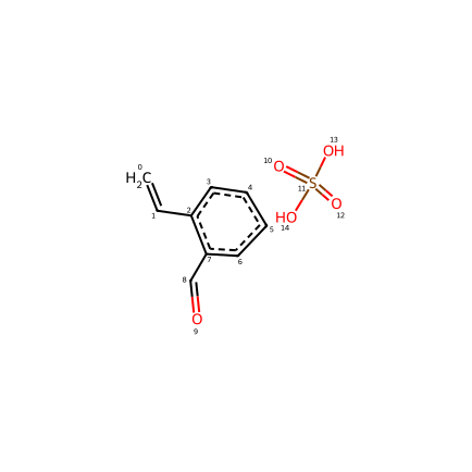 C=Cc1ccccc1C=O.O=S(=O)(O)O